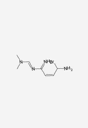 CN(C)/C=N/C(=N)/C=C\C(N)Br